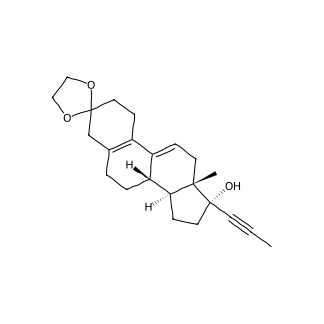 CC#C[C@@]1(O)CC[C@H]2[C@@H]3CCC4=C(CCC5(C4)OCCO5)C3=CC[C@@]21C